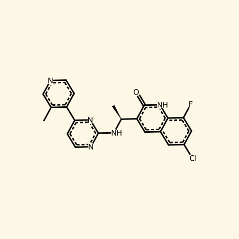 Cc1cnccc1-c1ccnc(N[C@@H](C)c2cc3cc(Cl)cc(F)c3[nH]c2=O)n1